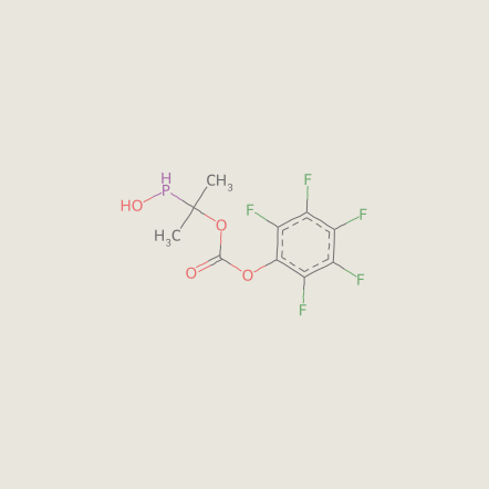 CC(C)(OC(=O)Oc1c(F)c(F)c(F)c(F)c1F)PO